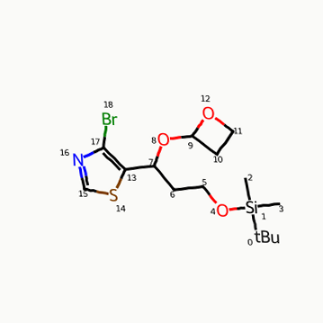 CC(C)(C)[Si](C)(C)OCCC(OC1CCO1)c1scnc1Br